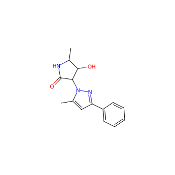 Cc1cc(-c2ccccc2)nn1C1C(=O)NC(C)C1O